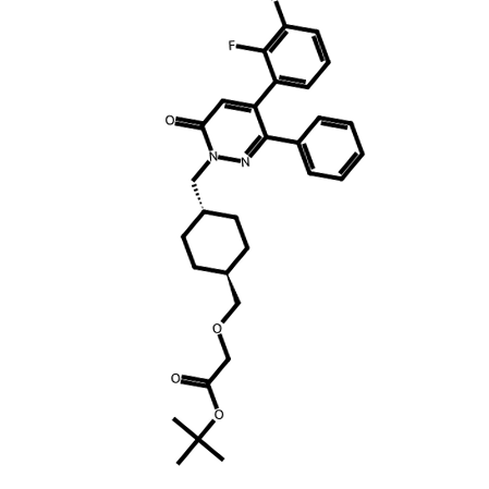 CC(C)(C)OC(=O)COC[C@H]1CC[C@H](Cn2nc(-c3ccccc3)c(-c3cccc(F)c3F)cc2=O)CC1